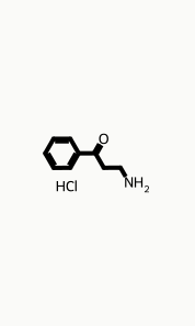 Cl.NCCC(=O)c1ccccc1